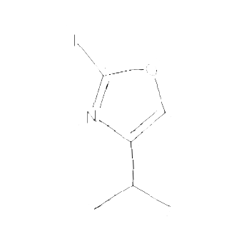 CC(C)c1coc(I)n1